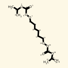 CC(C)OC(=O)OOCCCCCCOOC(=O)OC(C)C